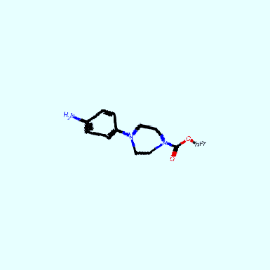 CCCOC(=O)N1CCN(c2ccc(N)cc2)CC1